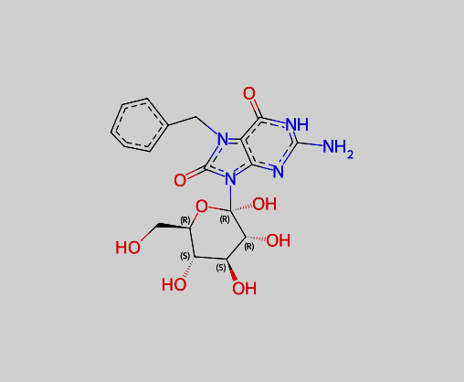 Nc1nc2c(c(=O)[nH]1)n(Cc1ccccc1)c(=O)n2[C@]1(O)O[C@H](CO)[C@@H](O)[C@H](O)[C@H]1O